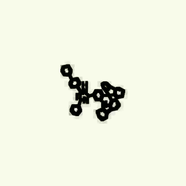 c1ccc(C2=NC(c3ccc4c(c3)-n3c5ccccc5c5cccc(c53)C43c4ccccc4-c4ccccc43)NC(c3ccc(-c4ccccc4)cc3)=N2)cc1